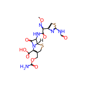 CON=C(C(=O)NC1C(=O)N2C(C(=O)O)=C(COC(N)=O)CS[C@@H]12)c1csc(NC=O)n1